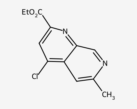 CCOC(=O)c1cc(Cl)c2cc(C)ncc2n1